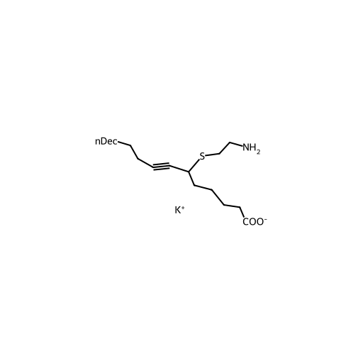 CCCCCCCCCCCCC#CC(CCCCC(=O)[O-])SCCN.[K+]